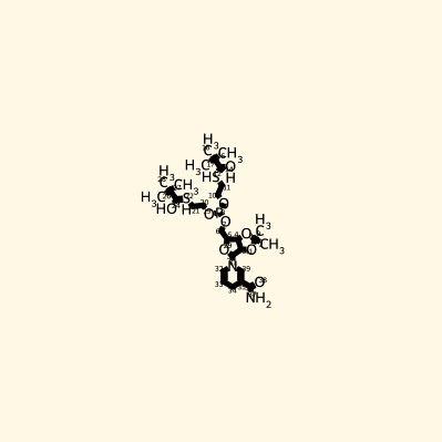 CC1(C)OC2C(COP(OCC[SH]=C(O)C(C)(C)C)OCC[SH]=C(O)C(C)(C)C)OC(N3C=CCC(C(N)=O)=C3)C2O1